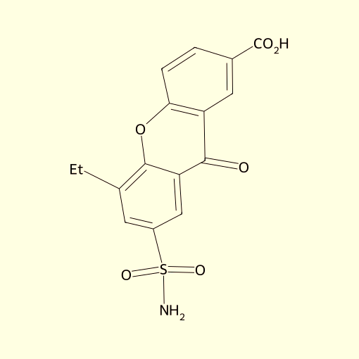 CCc1cc(S(N)(=O)=O)cc2c(=O)c3cc(C(=O)O)ccc3oc12